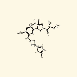 COc1ccc([C@@H]2CN(C(=O)[C@@H](O)CO)C[C@@]2(C)[C@@H](C)O)cc1OC1CN(c2nnc(C)s2)C1